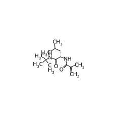 C=C(C)C(=O)N[C@@H](CC(C)C)C(=O)NC(C)(C)C